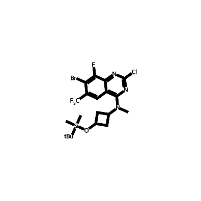 CN(c1nc(Cl)nc2c(F)c(Br)c(C(F)(F)F)cc12)C1CC(O[Si](C)(C)C(C)(C)C)C1